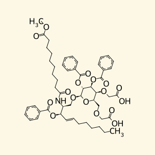 CCCCCC/C=C/[C@@H](OC(=O)c1ccccc1)[C@H](CO[C@@H]1O[C@H](COCC(=O)O)[C@H](OCC(=O)O)[C@H](OC(=O)c2ccccc2)[C@H]1OC(=O)c1ccccc1)NC(=O)CCCCCCCCC(=O)OC